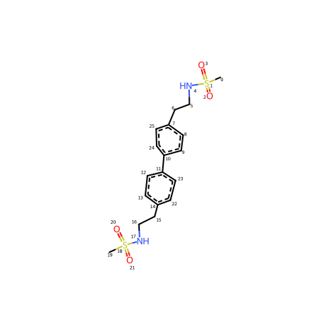 CS(=O)(=O)NCCc1ccc(-c2ccc(CCNS(C)(=O)=O)cc2)cc1